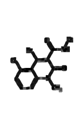 CCNC(=O)c1c(Br)c2c(Cl)cccc2n(C)c1=O